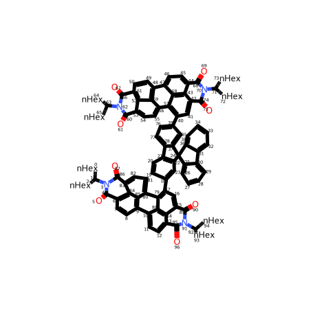 CCCCCCC(CCCCCC)N1C(=O)c2ccc3c4ccc5c6c(cc(-c7ccc8c(c7)C7(c9ccccc9-c9ccccc97)c7cc(-c9cc%10c%11c(ccc%12c%13ccc%14c%15c(ccc(c9c%11%12)c%15%13)C(=O)N(C(CCCCCC)CCCCCC)C%14=O)C(=O)N(C(CCCCCC)CCCCCC)C%10=O)ccc7-8)c(c7ccc(c2c37)C1=O)c64)C(=O)N(C(CCCCCC)CCCCCC)C5=O